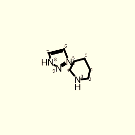 C1CCNCC1.c1c[nH]nn1